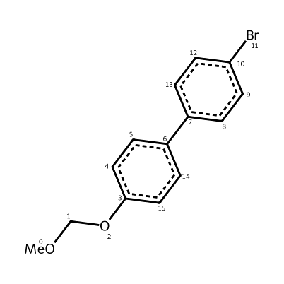 COCOc1ccc(-c2ccc(Br)cc2)cc1